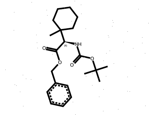 CC(C)(C)OC(=O)N[C@@H](C(=O)OCc1ccccc1)C1(C)CCCCC1